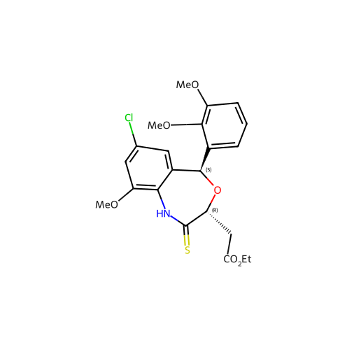 CCOC(=O)C[C@H]1O[C@H](c2cccc(OC)c2OC)c2cc(Cl)cc(OC)c2NC1=S